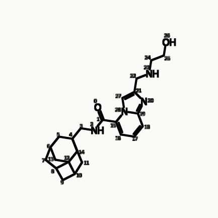 O=C(NCC12CC3CC4CC(C1)C4(C3)C2)c1cccc2nc(CNCCO)cn12